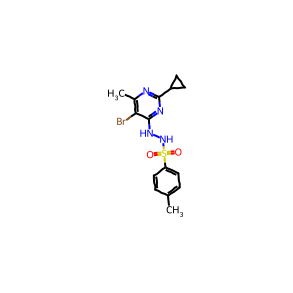 Cc1ccc(S(=O)(=O)NNc2nc(C3CC3)nc(C)c2Br)cc1